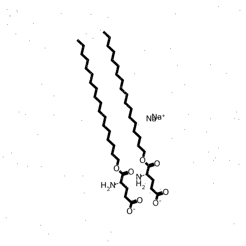 CCCCCCCCCCCCCCCCCCOC(=O)[C@@H](N)CCC(=O)[O-].CCCCCCCCCCCCCCCCCCOC(=O)[C@@H](N)CCC(=O)[O-].[Na+].[Na+]